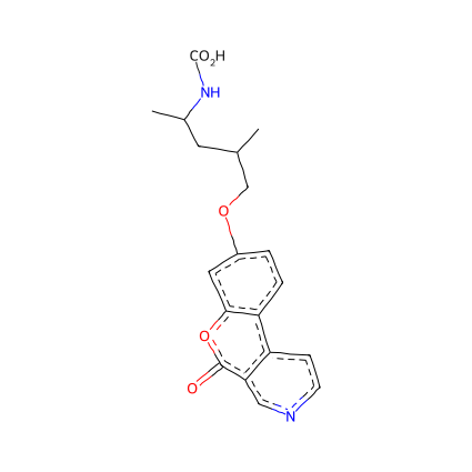 CC(COc1ccc2c(c1)oc(=O)c1cnccc12)CC(C)NC(=O)O